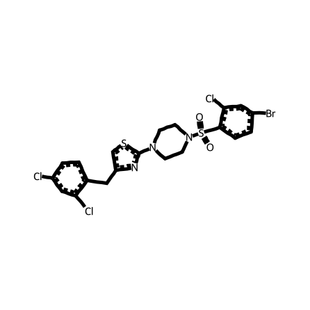 O=S(=O)(c1ccc(Br)cc1Cl)N1CCN(c2nc(Cc3ccc(Cl)cc3Cl)cs2)CC1